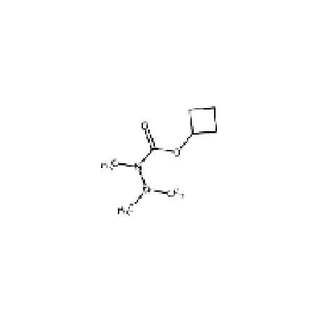 CN(C)N(C)C(=O)OC1CCC1